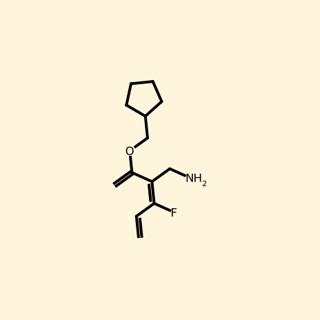 C=C/C(F)=C(/CN)C(=C)OCC1CCCC1